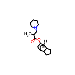 CC(CN1CCCCC1)C(=O)OC1CC2C[C@H]1C1CCCC21